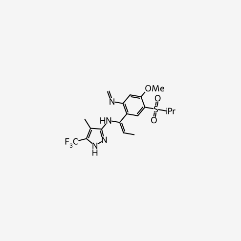 C=Nc1cc(OC)c(S(=O)(=O)C(C)C)cc1/C(=C\C)Nc1n[nH]c(C(F)(F)F)c1C